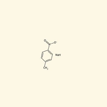 Cc1ccc([N+](=O)[O-])cc1.[NaH]